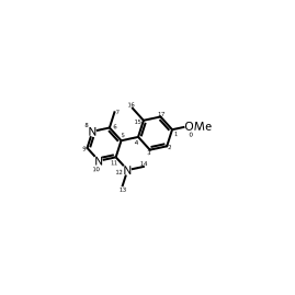 COc1ccc(-c2c(C)ncnc2N(C)C)c(C)c1